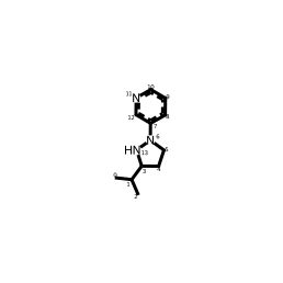 CC(C)C1CCN(c2cccnc2)N1